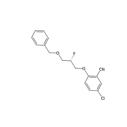 N#Cc1cc(Cl)ccc1OC[C@@H](F)COCc1ccccc1